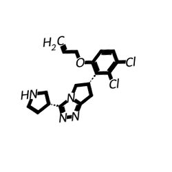 C=CCOc1ccc(Cl)c(Cl)c1[C@@H]1Cc2nnc([C@@H]3CCNC3)n2C1